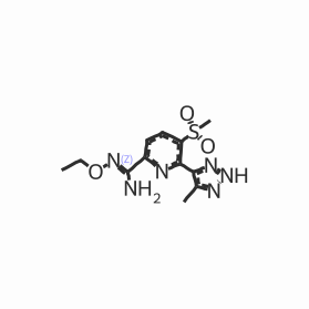 CCO/N=C(\N)c1ccc(S(C)(=O)=O)c(-c2n[nH]nc2C)n1